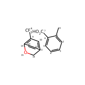 Cc1ccccc1C(=O)O.FC(F)(F)c1cc2ccc1OC2